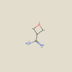 N=C(N)C1COC1